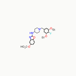 CCOc1cc(CN2CCC(Nc3nc4cc(OC(=O)O)ccc4o3)CC2)cc(OCC)c1F